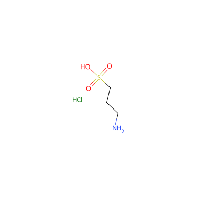 Cl.NCCCS(=O)(=O)O